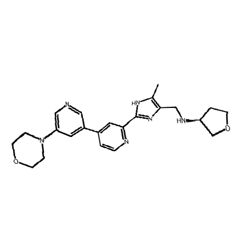 Cc1[nH]c(-c2cc(-c3cncc(N4CCOCC4)c3)ccn2)nc1CN[C@H]1CCOC1